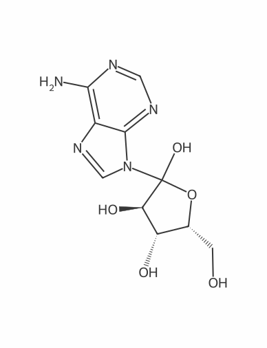 Nc1ncnc2c1ncn2C1(O)O[C@H](CO)[C@H](O)[C@H]1O